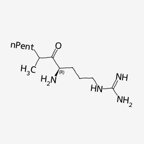 CCCCCC(C)C(=O)[C@H](N)CCCNC(=N)N